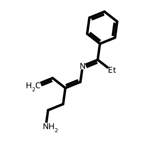 C=C/C(=C\N=C(/CC)c1ccccc1)CCN